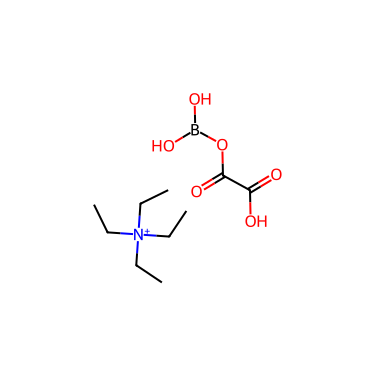 CC[N+](CC)(CC)CC.O=C(O)C(=O)OB(O)O